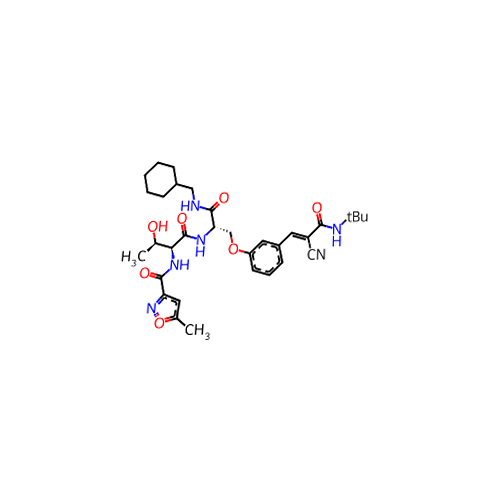 Cc1cc(C(=O)N[C@H](C(=O)N[C@@H](COc2cccc(/C=C(\C#N)C(=O)NC(C)(C)C)c2)C(=O)NCC2CCCCC2)[C@@H](C)O)no1